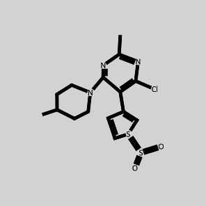 Cc1nc(Cl)c(C2=CS(=S(=O)=O)C=C2)c(N2CCC(C)CC2)n1